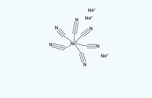 N#[C][Ni-3]([C]#N)([C]#N)([C]#N)([C]#N)[C]#N.[Na+].[Na+].[Na+]